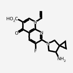 C=Cn1cc(C(=O)O)c(=O)c2cc(F)c(N3CC(N)C4(CC4)C3)nc21